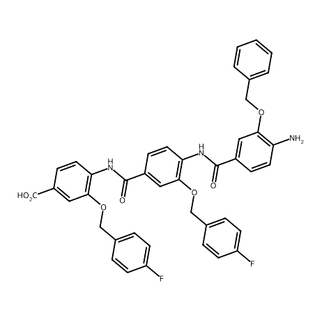 Nc1ccc(C(=O)Nc2ccc(C(=O)Nc3ccc(C(=O)O)cc3OCc3ccc(F)cc3)cc2OCc2ccc(F)cc2)cc1OCc1ccccc1